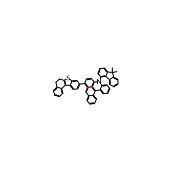 CC1(C)c2ccccc2-c2c(N(c3ccc(-c4ccc5c6c(sc5c4)CCc4ccccc4-6)cc3)c3ccccc3-c3cccc4ccccc34)cccc21